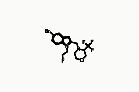 FCCn1c(CN2CCOCC2C(F)(F)F)cc2cc(Br)ccc21